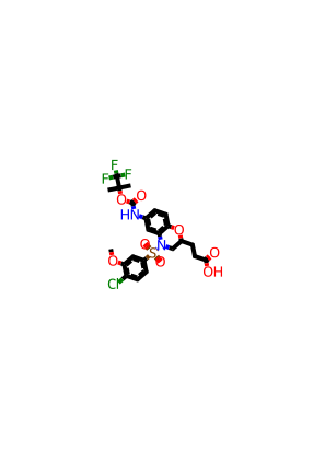 COc1cc(S(=O)(=O)N2CC(CCC(=O)O)Oc3ccc(NC(=O)OC(C)(C)C(F)(F)F)cc32)ccc1Cl